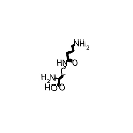 NCCCC(=O)NCCC[C@H](N)C(=O)O